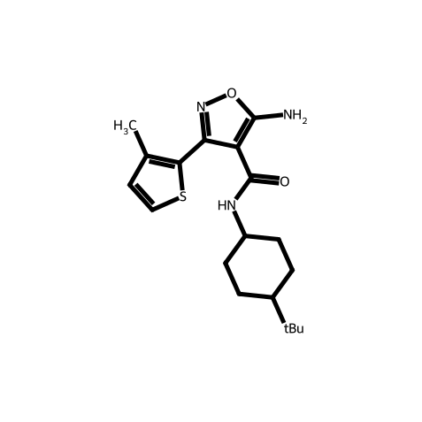 Cc1ccsc1-c1noc(N)c1C(=O)NC1CCC(C(C)(C)C)CC1